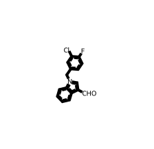 O=Cc1cn(Cc2ccc(F)c(Cl)c2)c2ccccc12